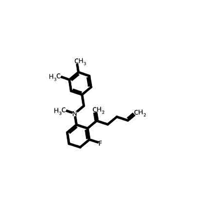 C=CCCC(=C)C1=C(F)CCC=C1N(C)Cc1ccc(C)c(C)c1